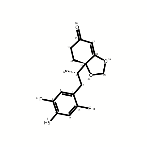 C[C@@H](Cc1cc(F)c(S)cc1F)[C@]12CCC(=O)C=C1OCO2